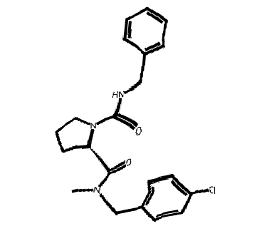 CN(Cc1ccc(Cl)cc1)C(=O)[C@H]1CCCN1C(=O)NCc1ccccc1